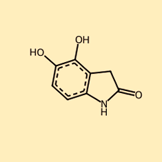 O=C1Cc2c(ccc(O)c2O)N1